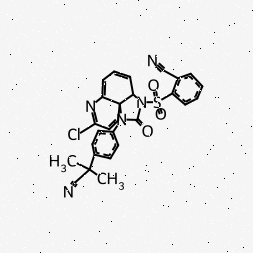 CC(C)(C#N)c1ccc(N2C(=O)N(S(=O)(=O)c3ccccc3C#N)C3C=CC=C4N=C(Cl)C=CC432)cc1